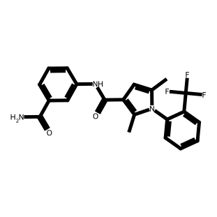 Cc1cc(C(=O)Nc2cccc(C(N)=O)c2)c(C)n1-c1ccccc1C(F)(F)F